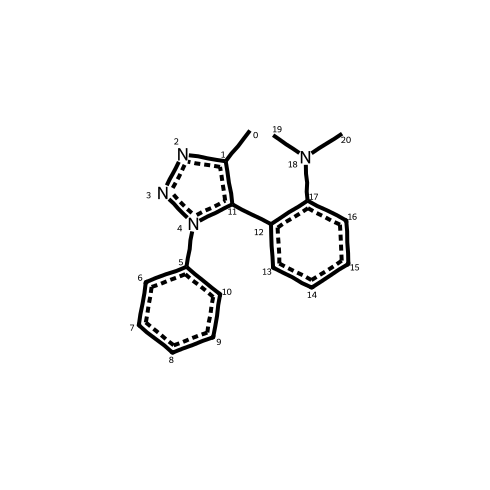 Cc1nnn(-c2ccccc2)c1-c1ccccc1N(C)C